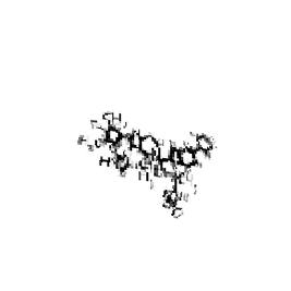 CC[C@](C)(c1noc(=O)[nH]1)n1c(C(=O)N2CCc3nn(-c4cc(C)c(F)c(C)c4)c(-n4cc[nH]c4=O)c3[C@@H]2C)cc2cc(C3CCOCC3)ccc21